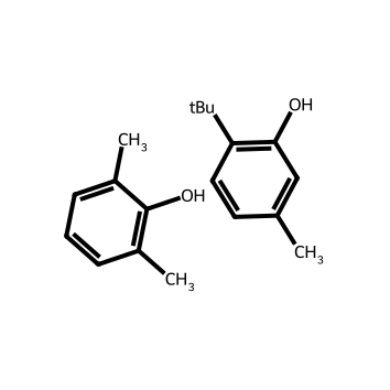 Cc1ccc(C(C)(C)C)c(O)c1.Cc1cccc(C)c1O